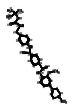 COc1cc(C2=CCN(C)CC2)ccc1NC(=O)c1ccc(C(=O)Nc2ccc(CNC(=O)OC(C)(C)C)cc2)cc1